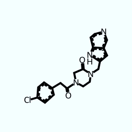 O=C(Cc1ccc(Cl)cc1)N1CCN(Cc2cc3cnccc3[nH]2)C(=O)C1